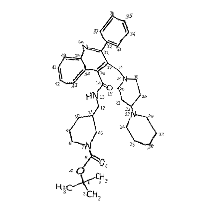 CC(C)(C)OC(=O)N1CCCC(CNC(=O)c2c(CN3CCC(N4CCCCC4)CC3)c(-c3ccccc3)nc3ccccc23)C1